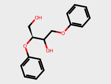 OC[C@H](Oc1ccccc1)C(O)COc1ccccc1